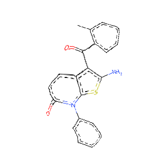 Cc1ccccc1C(=O)c1c(N)sc2c1ccc(=O)n2-c1ccccc1